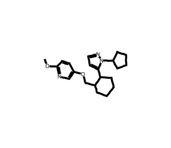 COc1ccc(OCC2CCCCC2c2ccnn2C2CCCC2)cn1